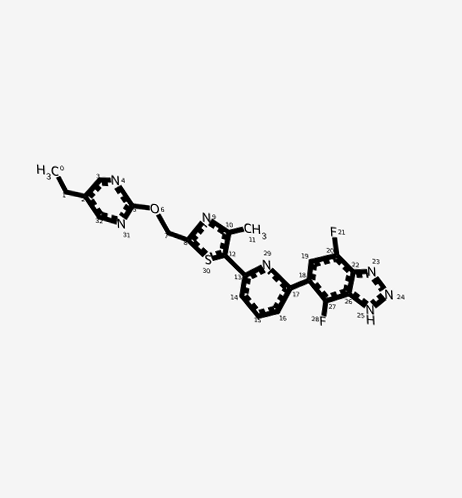 CCc1cnc(OCc2nc(C)c(-c3cccc(-c4cc(F)c5nn[nH]c5c4F)n3)s2)nc1